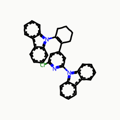 Clc1cc(C2=C(n3c4ccccc4c4ccccc43)CCCC2)cc(-n2c3ccccc3c3ccccc32)n1